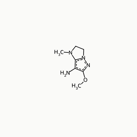 COc1nn2c(c1N)N(C)CC2